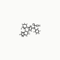 Cc1cccc(-n2nc(N(C(=O)O)c3ccccc3)cc2-c2ccc3ncsc3c2)n1